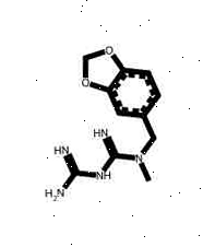 CN(Cc1ccc2c(c1)OCO2)C(=N)NC(=N)N